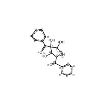 CC(=O)C(O)C(O)(C(=O)c1ccccc1)C(O)C(O)C(=O)c1ccccc1